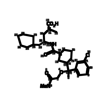 CNC(=O)CO[C@@](C)(c1cccc(Cl)c1)[C@@H]1CCCN(C(=O)N[C@H](CC2CCCCC2)CN(C)C(=O)O)C1